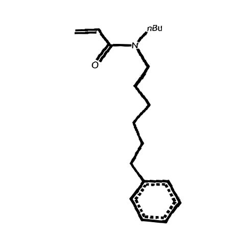 C=CC(=O)N(CCCC)CCCCCCc1ccccc1